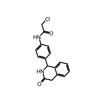 O=C(CCl)Nc1ccc(C2NC(=O)Cc3ccccc32)cc1